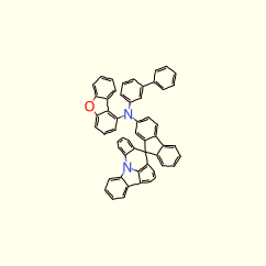 c1ccc(-c2cccc(N(c3ccc4c(c3)C3(c5ccccc5-4)c4ccccc4-n4c5ccccc5c5cccc3c54)c3cccc4oc5ccccc5c34)c2)cc1